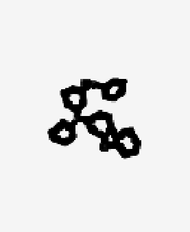 c1ccc(Nc2cccc(N(c3ccccc3)c3ccc4c(c3)oc3ccccc34)c2)cc1